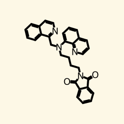 O=C1c2ccccc2C(=O)N1CCCCN(Cc1nccc2ccccc12)c1cccc2cccnc12